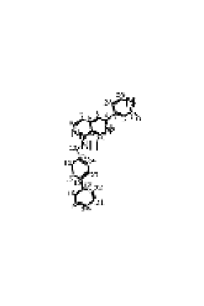 Cc1cc(-c2cc3ccnc(NCc4ccc(-c5ccccc5)cc4)c3cn2)ccn1